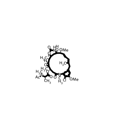 COc1cc2cc(c1Cl)N(C)C(=O)C[C@H](OC(=O)[C@H](C)N(C)C(C)=O)[C@@]1(C)O[C@H]1[C@H](C)[C@@H]1C[C@@](O)(NC(=O)O1)[C@H](OC)/C=C/C=C(\C)C2